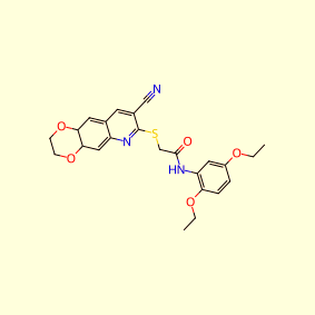 CCOc1ccc(OCC)c(NC(=O)CSc2nc3c(cc2C#N)=CC2OCCOC2C=3)c1